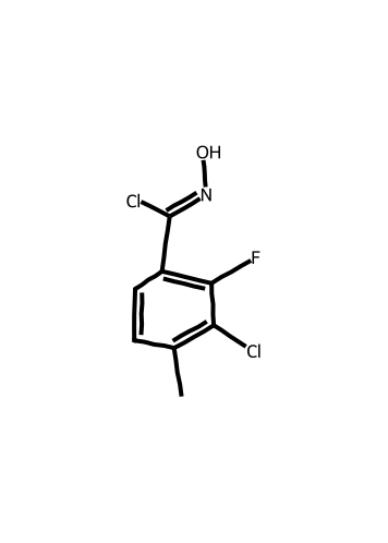 Cc1ccc(C(Cl)=NO)c(F)c1Cl